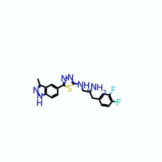 Cc1n[nH]c2ccc(-c3nnc(NC[C@@H](N)Cc4ccc(F)c(F)c4)s3)cc12